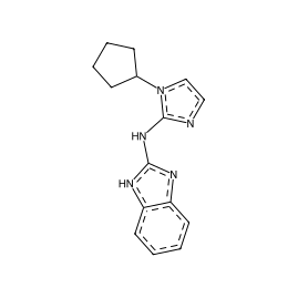 c1ccc2[nH]c(Nc3nccn3C3CCCC3)nc2c1